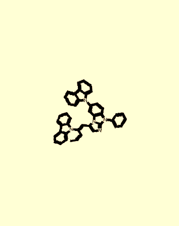 C/C=C\C(=C/c1cnc2n(-c3ccccc3)c3ccc(-n4c5ccccc5c5ccccc54)cc3n12)n1c2ccccc2c2ccccc21